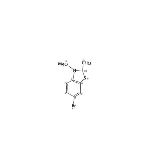 CON1c2ccc(Br)cc2SC1C=O